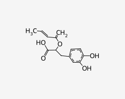 C=C(/C=C/C)OC(Cc1ccc(O)c(O)c1)C(=O)O